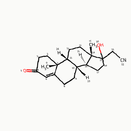 C[C@]12CCC(=O)C=C1CC[C@@H]1[C@H]2CC[C@@]2(C)[C@H]1CCC2(O)CC#N